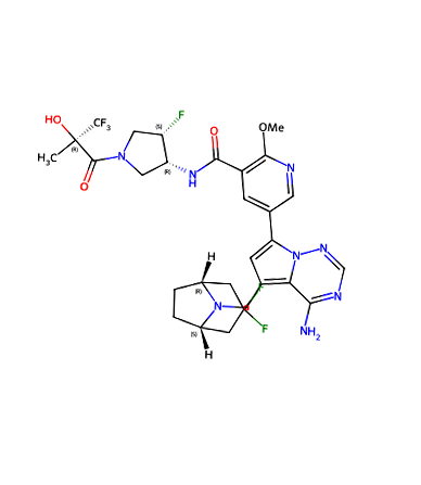 COc1ncc(-c2cc(CN3[C@@H]4CC[C@H]3CC(F)(F)C4)c3c(N)ncnn23)cc1C(=O)N[C@@H]1CN(C(=O)[C@@](C)(O)C(F)(F)F)C[C@@H]1F